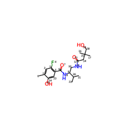 Cc1cc(F)c(C(=O)NC(CNC(=O)CC(C)(C)CO)C(C)C)cc1O